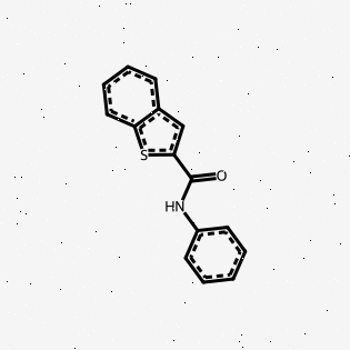 O=C(Nc1ccccc1)c1cc2ccccc2s1